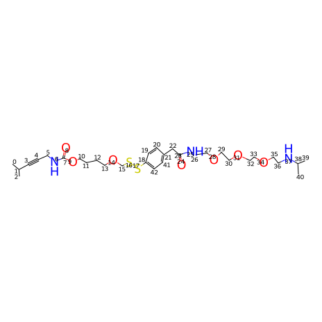 CC(C)C#CCNC(=O)OCCCCOCSSc1ccc(CC(=O)NCCOCCOCCOCCNC(C)C)cc1